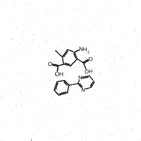 Cc1cc(N)c(C(=O)O)cc1C(=O)O.c1ccc(-c2ncccn2)cc1